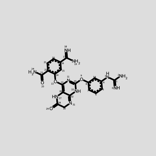 N=C(N)Nc1cccc(OC2=NC(Oc3cc(C(=N)N)ccc3C(N)=O)=C3NC(=O)CN=C3N2)c1